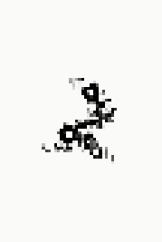 COc1cccc(C=Cc2nc3n(n2)CCOC3c2ccc(C#N)cc2)c1-n1cnc(C)c1